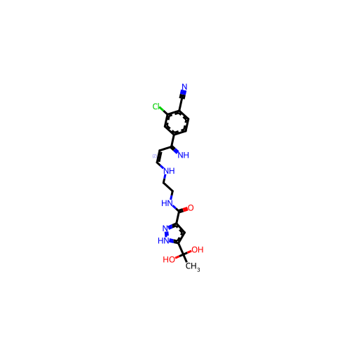 CC(O)(O)c1cc(C(=O)NCCN/C=C\C(=N)c2ccc(C#N)c(Cl)c2)n[nH]1